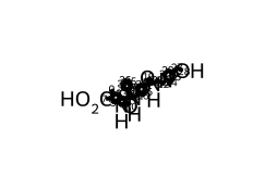 Cc1cc2c(cc1C(=O)O)NC(=O)/C2=C(\Nc1ccc(C(=O)NCCN2CCC(CO)CC2)cc1)c1ccccc1